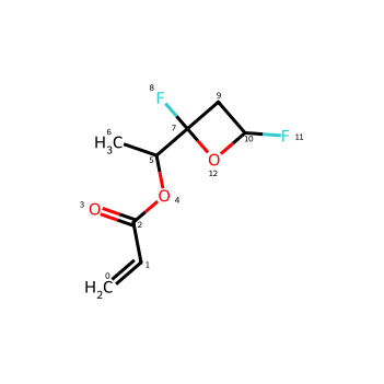 C=CC(=O)OC(C)C1(F)CC(F)O1